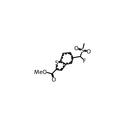 COC(=O)c1cc2cc(C(F)S(C)(=O)=O)ccc2s1